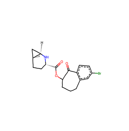 C[C@@]12CC[C@@H](C(=O)OC3CCCc4cc(Br)ccc4C3=O)N[C@@H]1C2